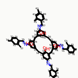 Cc1ccc(/C=N/c2cc3c(O)c(c2)Cc2cc(/N=C/c4ccc(C)cc4C)cc(c2O)Cc2cc(/N=C/c4ccc(C)cc4C)cc(c2O)Cc2cc(/N=C/c4ccc(C)cc4C)cc(c2O)C3)c(C)c1